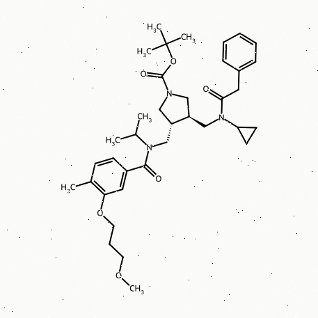 COCCCOc1cc(C(=O)N(C[C@@H]2CN(C(=O)OC(C)(C)C)C[C@H]2CN(C(=O)Cc2ccccc2)C2CC2)C(C)C)ccc1C